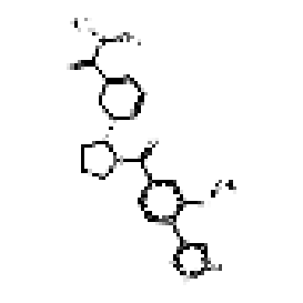 COc1cc(C(=O)N2CCC[C@@H]2C2C=CC=C(C(=O)N(C)C)C2)ccc1-c1cn[nH]c1